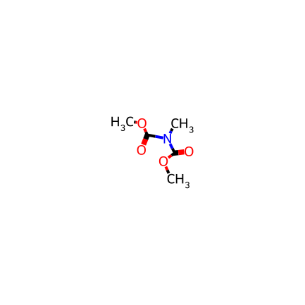 COC(=O)N(C)C(=O)OC